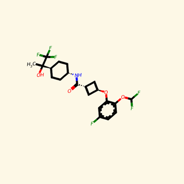 CC(O)([C@H]1CC[C@H](NC(=O)[C@H]2C[C@H](Oc3cc(F)ccc3OC(F)F)C2)CC1)C(F)(F)F